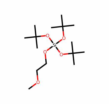 COCCO[Si](OC(C)(C)C)(OC(C)(C)C)OC(C)(C)C